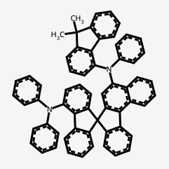 CC1(C)c2ccccc2-c2c(N(c3ccccc3)c3cc4c(c5ccccc35)-c3ccccc3C43c4ccccc4-c4c(N(c5ccccc5)c5ccccc5)cccc43)cccc21